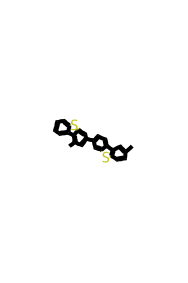 Cc1ccc2sc3cc(-c4cc(C)c5c(c4)sc4ccccc45)ccc3c2c1